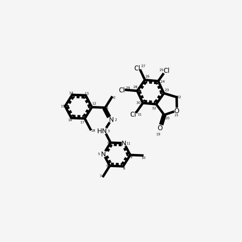 CC(=NNc1nc(C)cc(C)n1)c1ccccc1C.O=C1OCc2c(Cl)c(Cl)c(Cl)c(Cl)c21